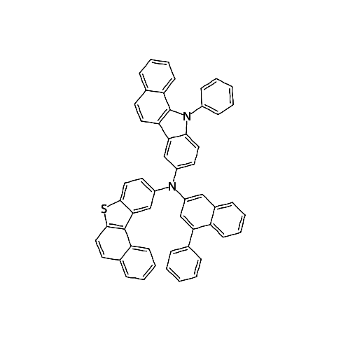 c1ccc(-c2cc(N(c3ccc4sc5ccc6ccccc6c5c4c3)c3ccc4c(c3)c3ccc5ccccc5c3n4-c3ccccc3)cc3ccccc23)cc1